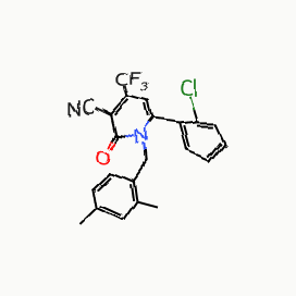 Cc1ccc(Cn2c(-c3ccccc3Cl)cc(C(F)(F)F)c(C#N)c2=O)c(C)c1